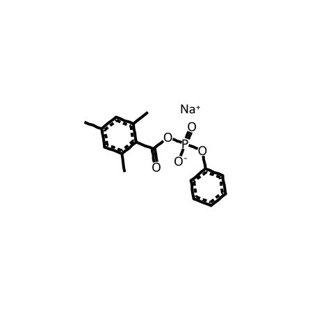 Cc1cc(C)c(C(=O)OP(=O)([O-])Oc2ccccc2)c(C)c1.[Na+]